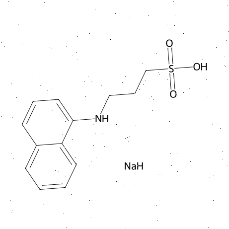 O=S(=O)(O)CCCNc1cccc2ccccc12.[NaH]